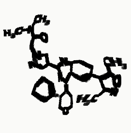 Cc1noc(C)c1-c1ccc2nc(-c3cnn(CC(=O)N(C)C)c3)nc(N3CCOC[C@@H]3c3ccccc3)c2c1